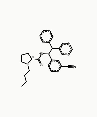 CCCCN1CCC[C@H]1C(=O)NC(c1cccc(C#N)c1)C(c1cccnc1)c1cccnc1